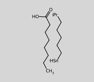 CC(C)CCCC[CH2][SnH].CCCCCCCC(=O)O